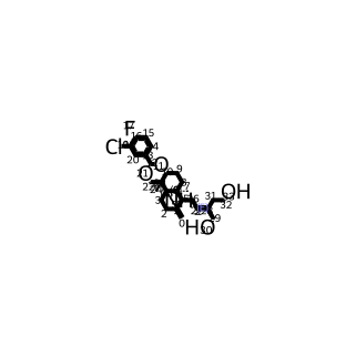 C=C1CC[C@@]2(N)[C@@](C)(CCC3OC(c4ccc(F)c(Cl)c4)OC[C@]32C)C1C/C=C(/CO)CCO